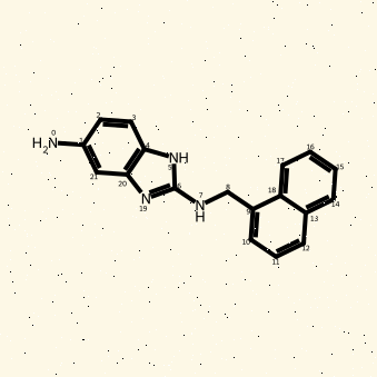 Nc1ccc2[nH]c(NCc3cccc4ccccc34)nc2c1